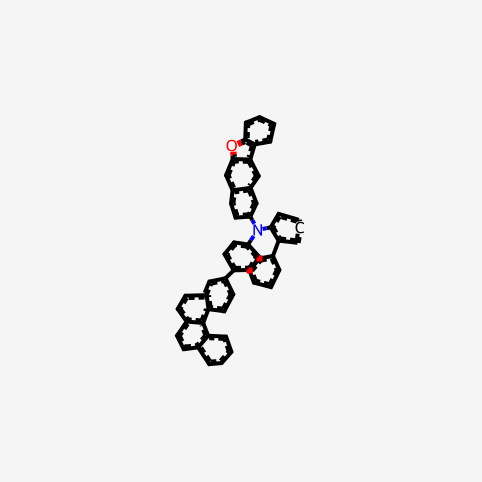 c1ccc(-c2ccccc2N(c2ccc(-c3ccc4c(ccc5ccc6ccccc6c54)c3)cc2)c2ccc3cc4oc5ccccc5c4cc3c2)cc1